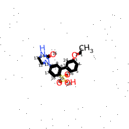 CCOc1cccc(-c2cc(N3CCNC3=O)ccc2S(=O)(=O)O)c1